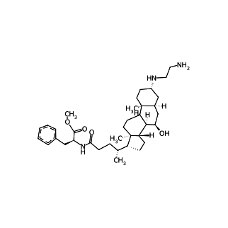 COC(=O)[C@H](Cc1ccccc1)NC(=O)CC[C@@H](C)[C@H]1CC[C@H]2[C@@H]3[C@H](O)C[C@@H]4C[C@@H](NCCN)CC[C@]4(C)[C@H]3CC[C@]12C